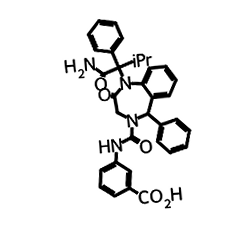 CC(C)C(C(N)=O)(c1ccccc1)N1C(=O)CN(C(=O)Nc2cccc(C(=O)O)c2)C(c2ccccc2)c2ccccc21